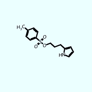 Cc1ccc(S(=O)(=O)OCCCc2ccc[nH]2)cc1